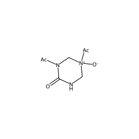 CC(=O)N1C[N+]([O-])(C(C)=O)CNC1=O